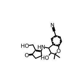 CC1(C)Oc2ccc(C#N)cc2C(NC2=C(CO)C(=O)CC2)C1O